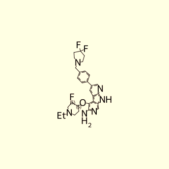 CCN1CC[C@H](Oc2c(N)ncc3[nH]c4ncc(-c5ccc(CN6CCC(F)(F)CC6)cc5)cc4c23)[C@@H](F)C1